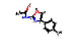 CC(C)C(=O)Nc1nc(-c2ccc(C#N)cc2)co1